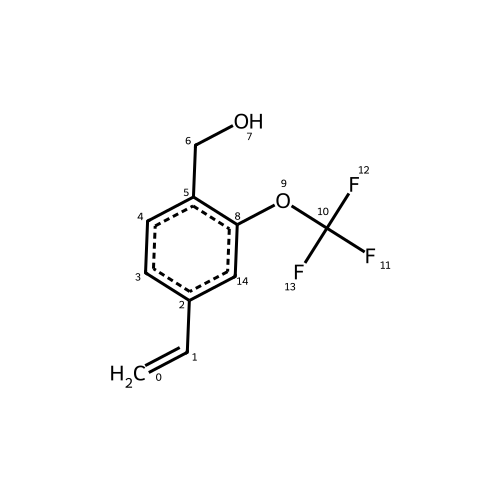 C=Cc1ccc(CO)c(OC(F)(F)F)c1